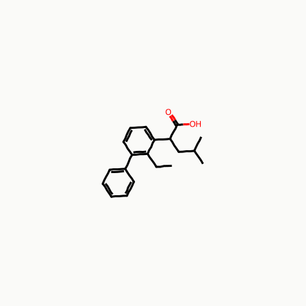 CCc1c(-c2ccccc2)cccc1C(CC(C)C)C(=O)O